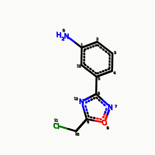 Nc1cccc(-c2noc(CCl)n2)c1